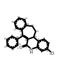 O=C1Nc2cc(Cl)ccc2C2CCc3ccccc3C(c3ccccc3)=C12